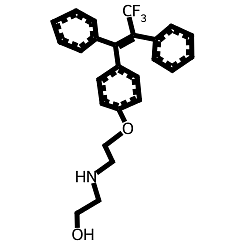 OCCNCCOc1ccc(C(=C(c2ccccc2)C(F)(F)F)c2ccccc2)cc1